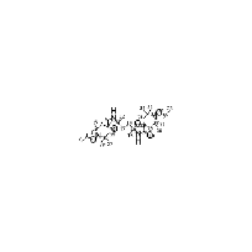 CCON1C(C)(C)CC2(CNC(C)(CCC3(C)NC(=O)C4(CC(C)(C)N(OCC)C(C)(C)C4)O3)O2)CC1(C)C